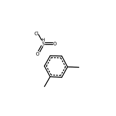 Cc1cccc(C)c1.O=[SH](=O)Cl